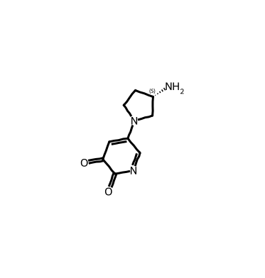 N[C@H]1CCN(C2=CC(=O)C(=O)N=C2)C1